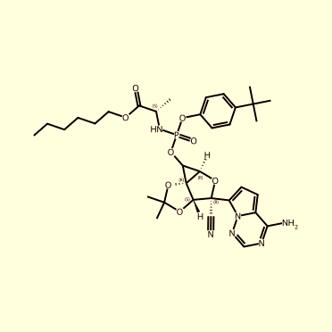 CCCCCCOC(=O)[C@H](C)NP(=O)(Oc1ccc(C(C)(C)C)cc1)OC1[C@H]2O[C@@](C#N)(c3ccc4c(N)ncnn34)[C@@H]3OC(C)(C)O[C@]123